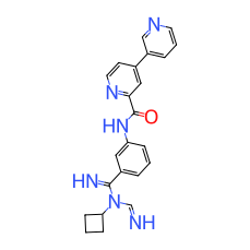 N=CN(C(=N)c1cccc(NC(=O)c2cc(-c3cccnc3)ccn2)c1)C1CCC1